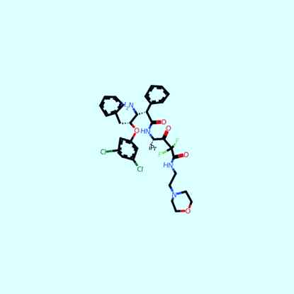 CC(C)[C@H](NC(=O)[C@@H](c1ccccc1)C(N)[C@@H](Cc1ccccc1)Oc1cc(Cl)cc(Cl)c1)C(=O)C(F)(F)C(=O)NCCN1CCOCC1